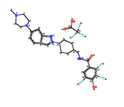 CN1CCN(c2ccc3cn(C4CCC(CNC(=O)c5cc(F)c(O)c(F)c5F)CC4)nc3c2)CC1.O=C(O)C(F)(F)F